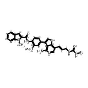 CCNC(=O)NC/C=C/c1cnc(N)c2c(-c3ccc(NC(=O)c4cc5ccccc5n4C)c(OC)c3)csc12